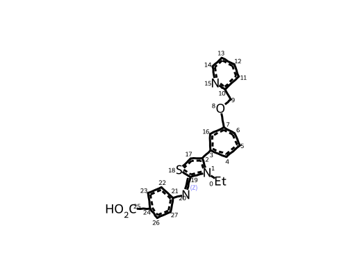 CCn1c(-c2cccc(OCc3ccccn3)c2)cs/c1=N\c1ccc(C(=O)O)cc1